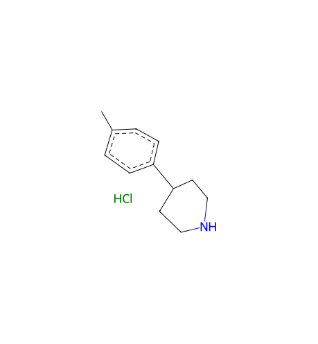 Cc1ccc(C2CCNCC2)cc1.Cl